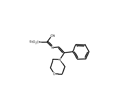 CCOC(=O)C(C#N)=NC=C(c1ccccc1)N1CCOCC1